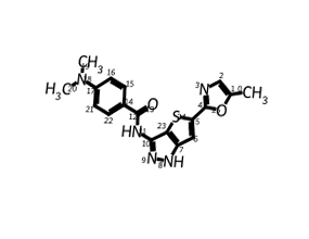 Cc1cnc(-c2cc3[nH]nc(NC(=O)c4ccc(N(C)C)cc4)c3s2)o1